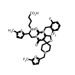 Cc1ccc(C(Cn2c(=O)c3c(n(Cc4c(F)cccc4C(F)(F)F)c2=O)COC32CCN(Cc3ccc(C(F)(F)F)o3)CC2)NCCCC(=O)O)s1